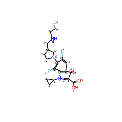 O=C(O)c1cn(C2CC2)c2c(F)c(N3CCC(CNCCF)C3)c(F)cc2c1=O